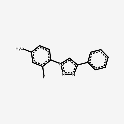 Cc1ccc(-n2cc(-c3ccccc3)nn2)c(F)c1